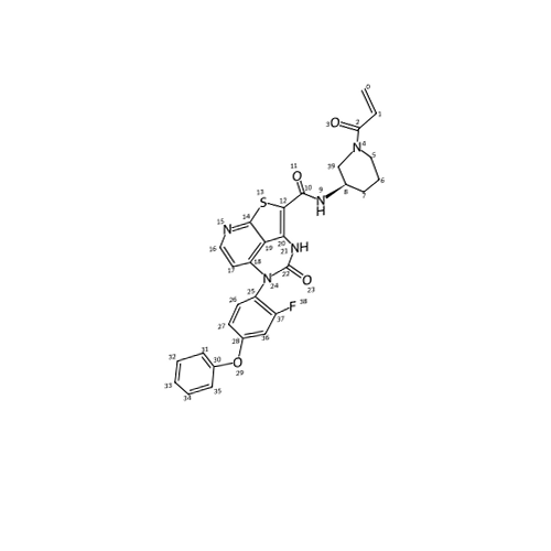 C=CC(=O)N1CCC[C@@H](NC(=O)c2sc3nccc4c3c2NC(=O)N4c2ccc(Oc3ccccc3)cc2F)C1